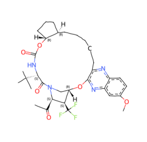 COc1ccc2nc3c(nc2c1)O[C@H]1CN(C(=O)[C@H](C(C)(C)C)NC(=O)O[C@@H]2CCC[C@H]2CCCCC3)[C@H](C(C)=O)[C@@H]1C(F)(F)F